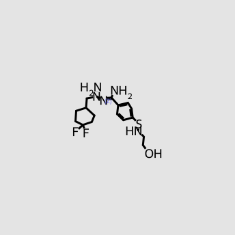 N/C(=N\N(N)CC1CCC(F)(F)CC1)c1ccc(SNCCO)cc1